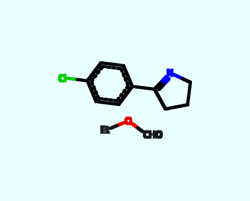 CCOC=O.Clc1ccc(C2=NCCC2)cc1